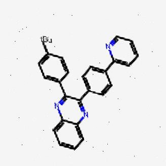 CC(C)(C)c1ccc(-c2nc3ccccc3nc2-c2ccc(-c3ccccn3)cc2)cc1